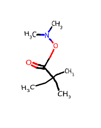 CN(C)OC(=O)C(C)(C)C